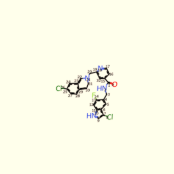 O=C(NCc1cc2c(Cl)c[nH]c2cc1F)c1ccnc(CN2C=c3cc(Cl)ccc3=CC2)c1